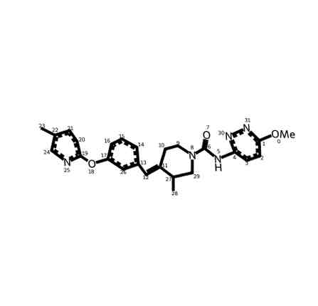 COc1ccc(NC(=O)N2CCC(=Cc3cccc(Oc4ccc(C)cn4)c3)C(C)C2)nn1